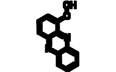 OOc1cccc2nc3ccccc3nc12